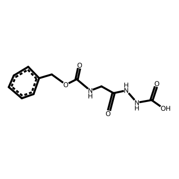 O=C(O)NNC(=O)CNC(=O)OCc1ccccc1